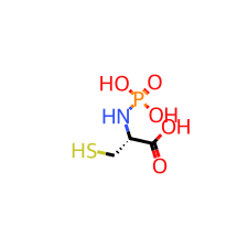 O=C(O)[C@H](CS)NP(=O)(O)O